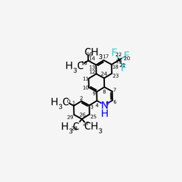 CC1C=C(C2NC=CC3C2=CCC2C(C(C)C)=CC(C(F)(F)F)CC32)CC(C)(C)C1